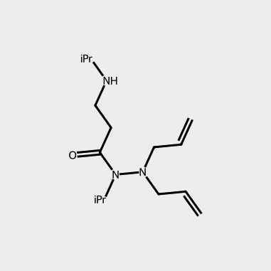 C=CCN(CC=C)N(C(=O)CCNC(C)C)C(C)C